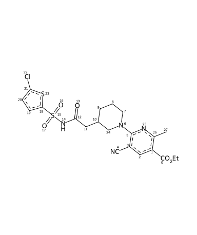 CCOC(=O)c1cc(C#N)c(N2CCCC(CC(=O)NS(=O)(=O)c3ccc(Cl)s3)C2)nc1C